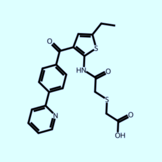 CCc1cc(C(=O)c2ccc(-c3ccccn3)cc2)c(NC(=O)CSCC(=O)O)s1